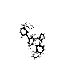 CS(=O)(=O)c1cc(-c2c[nH]nc(-c3ccnn3-c3ccc4c(c3)OCCO4)c2=O)ccn1